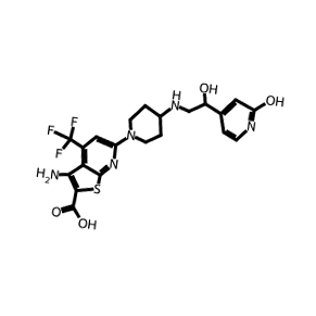 Nc1c(C(=O)O)sc2nc(N3CCC(NCC(O)c4ccnc(O)c4)CC3)cc(C(F)(F)F)c12